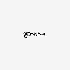 C[C@H]1C[C@@H]1CCC#[N+]CCC1CCS(=O)(=O)CC1